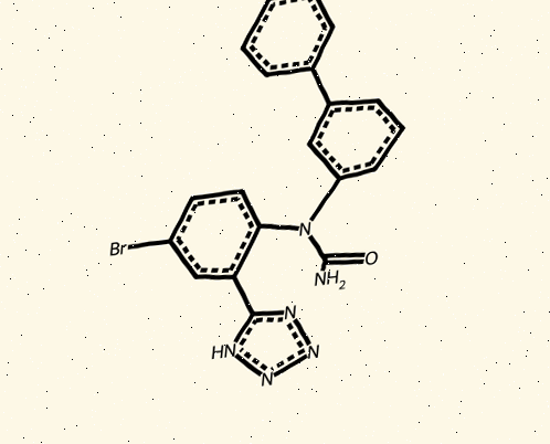 NC(=O)N(c1cccc(-c2ccccc2)c1)c1ccc(Br)cc1-c1nnn[nH]1